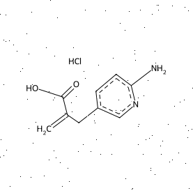 C=C(Cc1ccc(N)nc1)C(=O)O.Cl